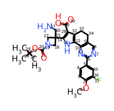 COc1ccc(-c2ncc3c(n2)-c2[nH]c(C4(CN)CN(C(=O)OC(C)(C)C)C4)c(C(=O)O)c2CC3)cc1F